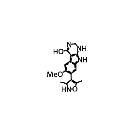 COc1cc2c3c([nH]c2cc1C1=C(C)ONC1C)NCN=C3O